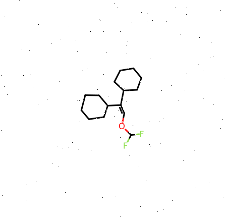 FC(F)OC=C(C1CCCCC1)C1CCCCC1